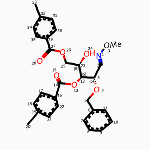 CON=C[C@H](OCc1ccccc1)[C@@H](OC(=O)c1ccc(C)cc1)[C@H](O)COC(=O)c1ccc(C)cc1